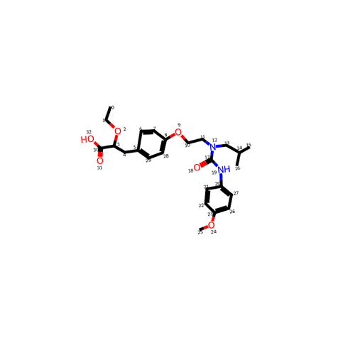 CCOC(Cc1ccc(OCCN(CC(C)C)C(=O)Nc2ccc(OC)cc2)cc1)C(=O)O